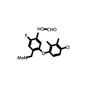 CNCc1cc(F)c(C)cc1Oc1ccc(Cl)c(C)c1C.O=CO